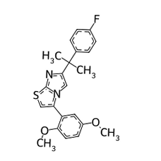 COc1ccc(OC)c(-c2csc3nc(C(C)(C)c4ccc(F)cc4)cn23)c1